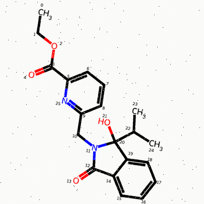 CCOC(=O)c1cccc(CN2C(=O)c3ccccc3C2(O)C(C)C)n1